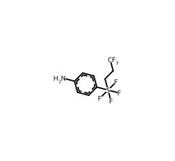 Nc1ccc(S(F)(F)(F)(F)CCC(F)(F)F)cc1